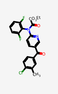 CCOC(=O)C(=O)N(c1ccc(C(=O)c2ccc(Cl)c(C)c2)cn1)c1c(F)cccc1F